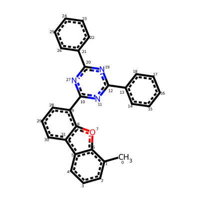 Cc1cccc2c1oc1c(-c3nc(-c4ccccc4)nc(-c4ccccc4)n3)cccc12